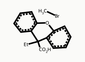 CBr.CCC1(C(=O)O)c2ccccc2Oc2ccccc21